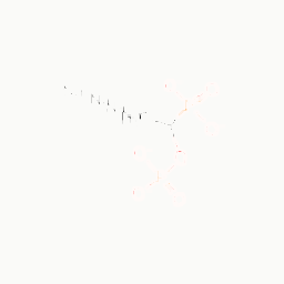 CC(OP(=O)([O-])[O-])P(=O)([O-])[O-].[Na+].[Na+].[Na+].[Na+]